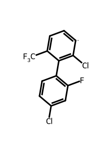 Fc1cc(Cl)ccc1-c1c(Cl)[c]ccc1C(F)(F)F